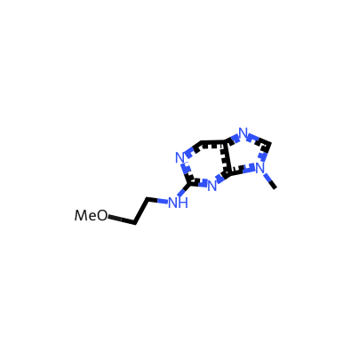 COCCNc1ncc2ncn(C)c2n1